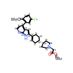 COc1ccc(F)cc1-c1ccnc2[nH]c(C3=CC[C@@H](C4CCN(CC(=O)OC(C)(C)C)CC4)CC3)cc12